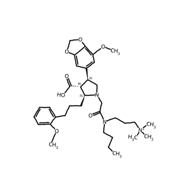 CCCCN(CCC[N+](C)(C)C)C(=O)CN1C[C@H](c2cc(OC)c3c(c2)OCO3)[C@@H](C(=O)O)[C@@H]1CCCc1ccccc1OC